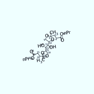 CCCOC(=O)CCC1(C)OCC(C(O)C(O)C2COC(C)(CCC(=O)OCCC)O2)O1